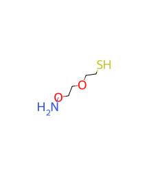 NOCCOCCS